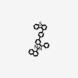 c1ccc(-c2nc(-c3cccc4ccccc34)nc3ccc(-c4ccc(-c5cccc6sc7ccccc7c56)cc4)cc23)cc1